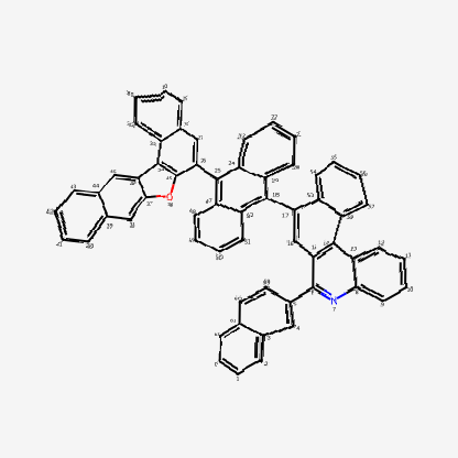 c1ccc2cc(-c3nc4ccccc4c4c3cc(-c3c5ccccc5c(-c5cc6ccccc6c6c5oc5cc7ccccc7cc56)c5ccccc35)c3ccccc34)ccc2c1